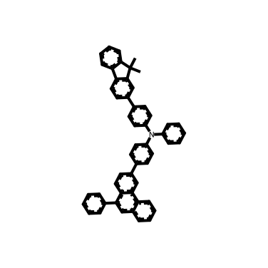 CC1(C)c2ccccc2-c2ccc(-c3ccc(N(c4ccccc4)c4ccc(-c5ccc6c(-c7ccccc7)cc7ccccc7c6c5)cc4)cc3)cc21